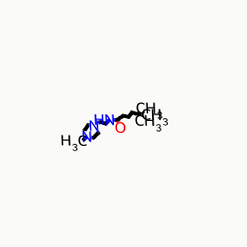 CN1CCN(CCNC(=O)CCCC(C)(C)C)CC1